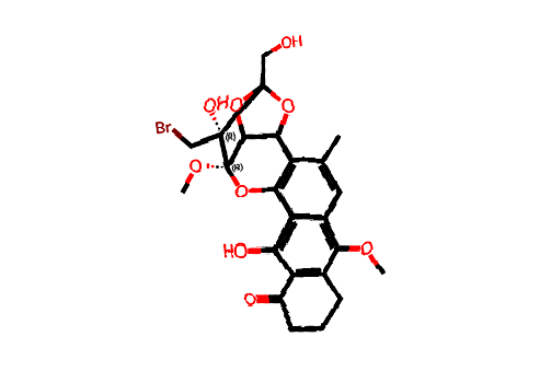 COc1c2c(c(O)c3c4c(c(C)cc13)C1OC3(CO)OC1[C@@](OC)(O4)[C@@]3(O)CBr)C(=O)CCC2